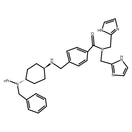 CCCN(Cc1ccccc1)[C@H]1CC[C@H](NCc2ccc(C(=O)N(Cc3ncc[nH]3)Cc3ncc[nH]3)cc2)CC1